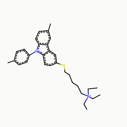 CC[N+](CC)(CC)CCCCCSc1ccc2c(c1)c1cc(C)ccc1n2-c1ccc(C)cc1